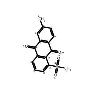 Cc1ccc2c(c1)C(=O)c1cccc(S(C)(=O)=O)c1C2=O